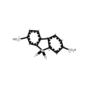 O=C(O)c1ccc2c(c1)S(=O)(=O)c1cc(C(=O)O)ccc1-2